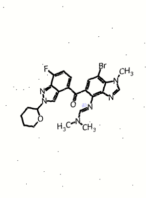 CN(C)/C=N/c1c(C(=O)c2ccc(F)c3nn(C4CCCCO4)cc23)cc(Br)c2c1ncn2C